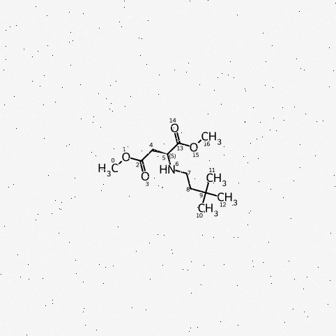 COC(=O)C[C@H](NCCC(C)(C)C)C(=O)OC